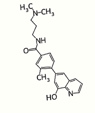 Cc1cc(C(=O)NCCCN(C)C)ccc1-c1cc(O)c2ncccc2c1